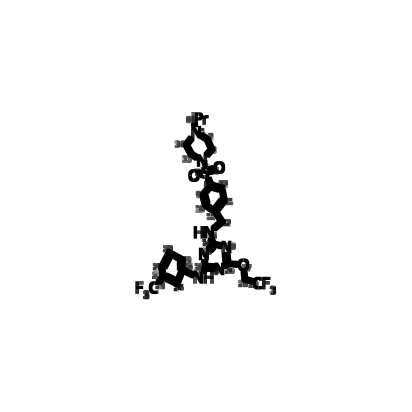 CC(C)N1CCN(S(=O)(=O)c2ccc(CNc3nc(Nc4cccc(C(F)(F)F)c4)nc(OCC(F)(F)F)n3)cc2)CC1